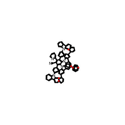 N#Cc1c(-c2ccccn2)c(-c2ccc(-n3c4ccccc4c4ccccc43)cc2)c(-n2c3ccc(-c4ccccc4)cc3c3cc(-c4ccccc4)ccc32)c(-n2c3ccc(-c4ccccc4)cc3c3cc(-c4ccccc4)ccc32)c1-c1ccc(-n2c3ccccc3c3ccccc32)cc1